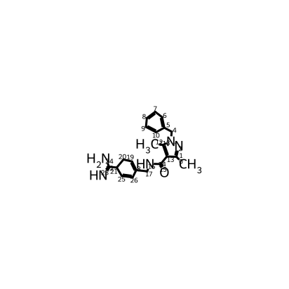 Cc1nn(Cc2ccccc2)c(C)c1C(=O)NCC1=CCC(C(=N)N)C=C1